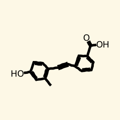 Cc1cc(O)ccc1C#Cc1cccc(C(=O)O)c1